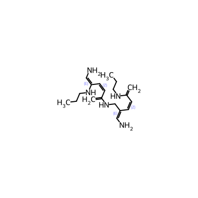 C=C(/C=C\C(=C/N)CNC(=C)/C=C\C(=C/N)NCCC)NCCC